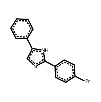 CC(C)c1ccc(-c2ncc(-c3ccccc3)[nH]2)cc1